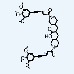 COc1cc(C#C/C=C/C(=O)N2CCC(CC(CC3CCN(C(=O)/C=C/C#Cc4cc(OC)c(OC)c(OC)c4)CC3)C(=O)O)CC2)cc(OC)c1OC